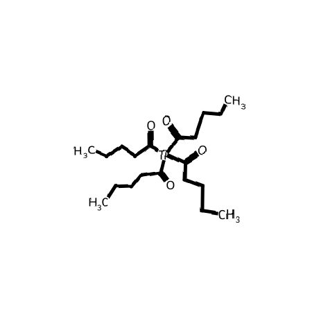 CCCC[C](=O)[Ti]([C](=O)CCCC)([C](=O)CCCC)[C](=O)CCCC